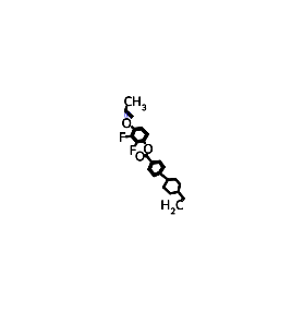 C=CC1CCC(c2ccc(C(=O)Oc3ccc(O/C=C/C)c(F)c3F)cc2)CC1